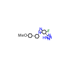 COc1ccc(-c2cccc(-n3cnc4cc(F)c(-c5nnn[nH]5)cc43)c2)cc1